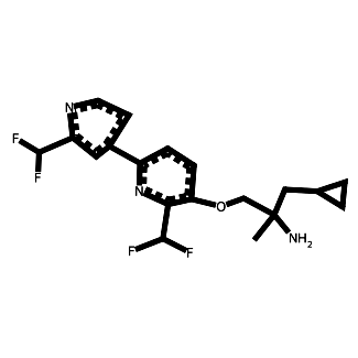 CC(N)(COc1ccc(-c2ccnc(C(F)F)c2)nc1C(F)F)CC1CC1